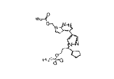 CC(C)(C)C(=O)OCn1ccc2c(-c3cnn(C(CCOS(C)(=O)=O)C4CCCC4)c3)cnnc21